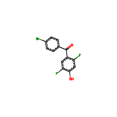 O=C(c1ccc(Br)cc1)c1cc(F)c(O)cc1F